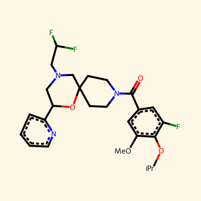 COc1cc(C(=O)N2CCC3(CC2)CN(CC(F)F)CC(c2ccccn2)O3)cc(F)c1OC(C)C